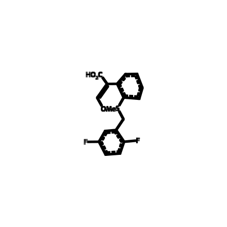 CO/C=C(/C(=O)O)c1ccccc1SCc1cc(F)ccc1F